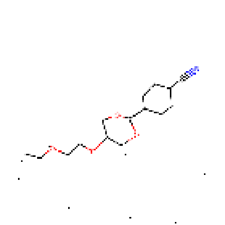 CCOCCOC1COC(C2CCC(C#N)CC2)OC1